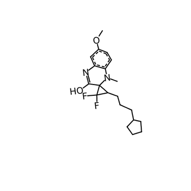 COc1ccc2c(c1)N=C(O)C1(C(CCCC3CCCC3)C1(F)F)N2C